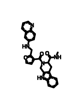 CNC(=O)C1Cc2c([nH]c3ccccc23)CN1C(=O)c1ccoc1CNc1ccc2ncccc2c1